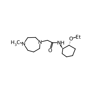 CCO[C@@H]1CCCC[C@H]1NC(=O)CN1CCCN(C)CC1